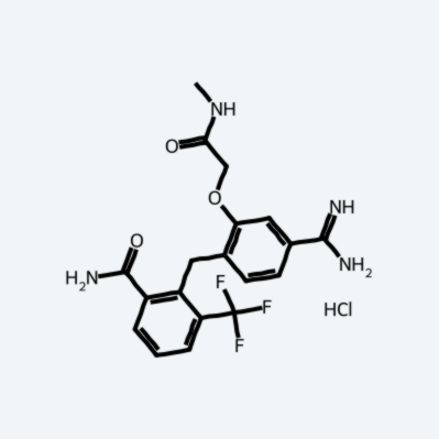 CNC(=O)COc1cc(C(=N)N)ccc1Cc1c(C(N)=O)cccc1C(F)(F)F.Cl